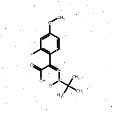 COc1ccc(/C(=N/[S+]([O-])C(C)(C)C)C(=O)O)c(F)c1